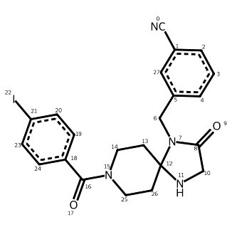 N#Cc1cccc(CN2C(=O)CNC23CCN(C(=O)c2ccc(I)cc2)CC3)c1